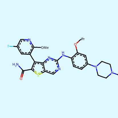 COc1ncc(F)cc1-c1c(C(N)=O)sc2cnc(Nc3ccc(N4CCN(C)CC4)cc3OC(C)C)nc12